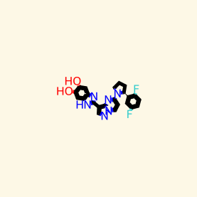 Oc1cc2nc(-c3cnn4ccc(N5CCC[C@@H]5c5cc(F)ccc5F)nc34)[nH]c2cc1O